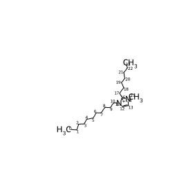 CCCCCCCCCCC[n+]1ccn(C)c1CCCCCCC